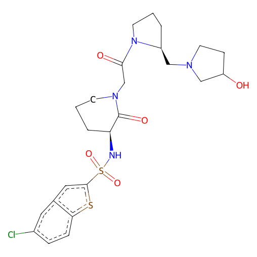 O=C1[C@@H](NS(=O)(=O)c2cc3cc(Cl)ccc3s2)CCCN1CC(=O)N1CCC[C@H]1CN1CCC(O)C1